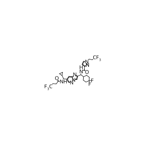 O=C(CCC(F)(F)F)N[C@@H](c1cnn2cc([C@@H](NC(=O)c3ccn(CCC(F)(F)F)n3)C3CCC(F)(F)CC3)nc2c1)C1CC1